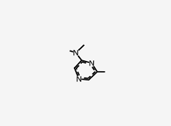 Cc1cncc(N(C)C)n1